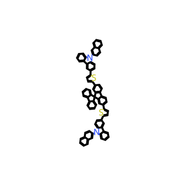 c1ccc2c(c1)-c1ccccc1C21c2cc(-c3ccc(-c4ccc5c(c4)c4ccccc4n5-c4ccc5ccccc5c4)s3)ccc2-c2ccc(-c3ccc(-c4ccc5c(c4)c4ccccc4n5-c4ccc5ccccc5c4)s3)cc21